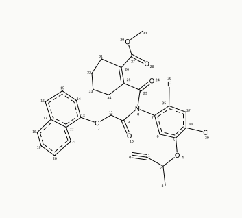 C#CC(C)Oc1cc(N(C(=O)COc2cccc3ccccc23)C(=O)C2=C(C(=O)OC)CCCC2)c(F)cc1Cl